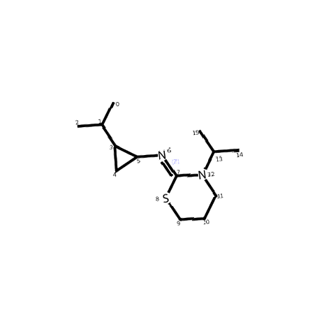 CC(C)C1CC1/N=C1\SCCCN1C(C)C